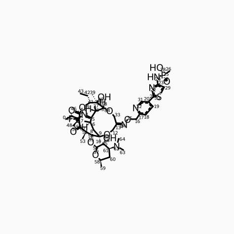 CCC(=O)/N=C1\[C@H](C)C[C@@]2(C)OC/C(=N/OCc3ccc(-c4nc(NP(C)(=O)O)cs4)cn3)CO[C@H]([C@H]1C)[C@](C)(O)[C@@H](CC)OC(=O)[C@@](C)(F)C(=O)[C@H](C)[C@H]2O[C@@H]1O[C@H](C)C[C@H](N(C)C)[C@H]1O